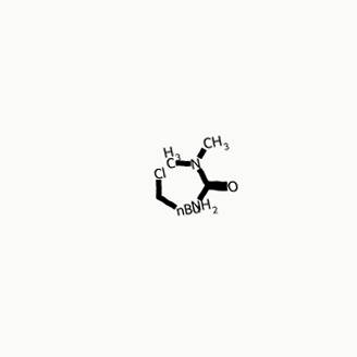 CCCCCCl.CN(C)C(N)=O